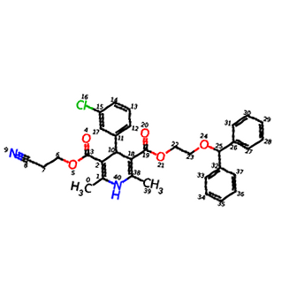 CC1=C(C(=O)OCCC#N)C(c2cccc(Cl)c2)C(C(=O)OCCOC(c2ccccc2)c2ccccc2)=C(C)N1